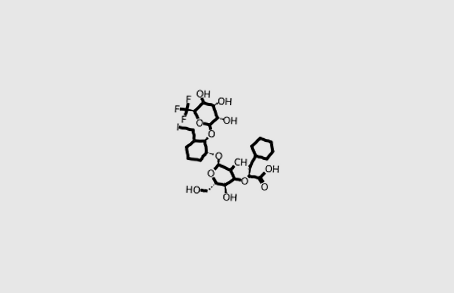 CC1C(O[C@@H](CC2CCCCC2)C(=O)O)[C@@H](O)[C@H](CO)O[C@H]1O[C@@H]1CCCC(CI)[C@H]1OC1O[C@@H](C(F)(F)F)C(O)[C@H](O)[C@@H]1O